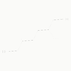 O[CH]C(O)CCCCO